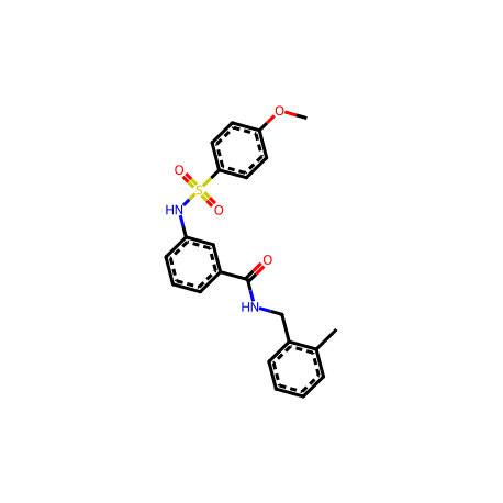 COc1ccc(S(=O)(=O)Nc2cccc(C(=O)NCc3ccccc3C)c2)cc1